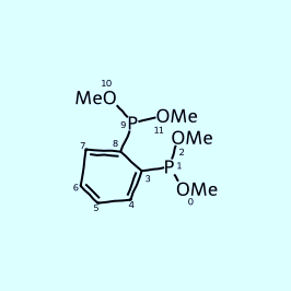 COP(OC)c1ccccc1P(OC)OC